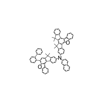 CC1(C)c2cc(N(c3ccc4c(c3)C(C)(C)c3c5c(c6c(oc7ccccc76)c3-4)-c3ccccc3C5(C)C)c3ccc4ccccc4c3)ccc2-c2c1cc(-c1ccccc1-c1ccccc1)c1oc3ccccc3c21